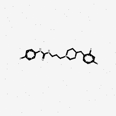 O=C(NCCCN1CCC(Cc2ccc(F)cc2F)CC1)Nc1ccc(F)cc1